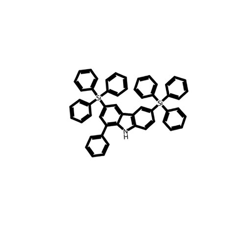 c1ccc(-c2cc([Si](c3ccccc3)(c3ccccc3)c3ccccc3)cc3c2[nH]c2ccc([Si](c4ccccc4)(c4ccccc4)c4ccccc4)cc23)cc1